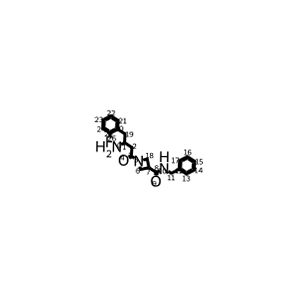 NC(CC(=O)N1CC(C(=O)NCc2ccccc2)C1)Cc1ccccc1F